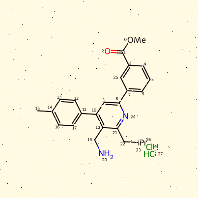 COC(=O)c1cccc(-c2cc(-c3ccc(C)cc3)c(CN)c(CC(C)C)n2)c1.Cl.Cl